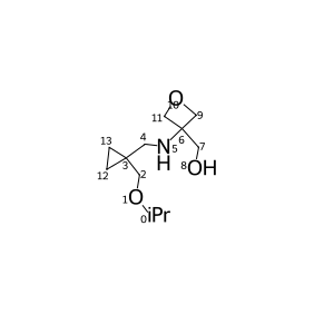 CC(C)OCC1(CNC2(CO)COC2)CC1